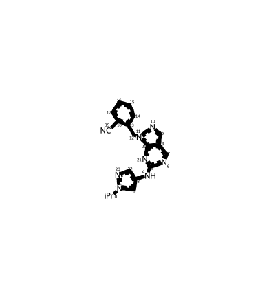 CC(C)n1cc(Nc2ncc3cnn(Cc4ccccc4C#N)c3n2)cn1